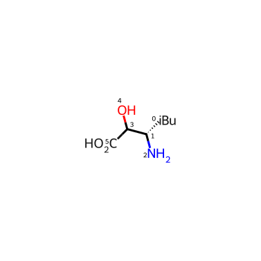 CCC(C)[C@H](N)C(O)C(=O)O